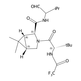 CC(C)C(C=O)NC(=O)[C@@H]1[C@@H]2[C@H](CN1C(=O)[C@@H](NC(=O)C(F)(F)F)C(C)(C)C)C2(C)C